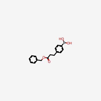 O=C(CCc1ccc(B(O)O)cc1)OCc1ccccc1